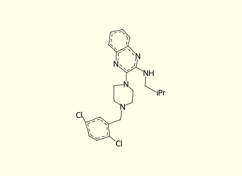 CC(C)CNc1nc2ccccc2nc1N1CCN(Cc2cc(Cl)ccc2Cl)CC1